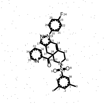 Cc1cc(C)cc(S(=O)(=O)N2CCC3=Cc4c(cnn4-c4ccc(F)cc4)CC3(C(=O)c3ccccn3)C2)c1